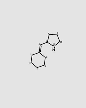 C(=C1CCCCC1)C1CCCN1